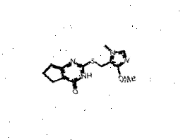 COc1ncn(C)c1CSc1nc2c(c(=O)[nH]1)CCC2